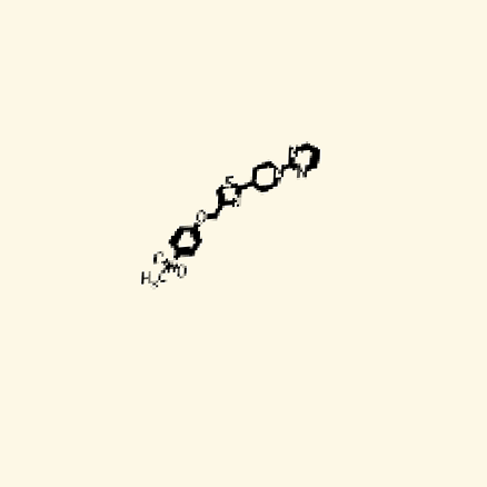 CS(=O)(=O)c1ccc(OCc2csc(C3CCN(c4ncccn4)CC3)n2)cc1